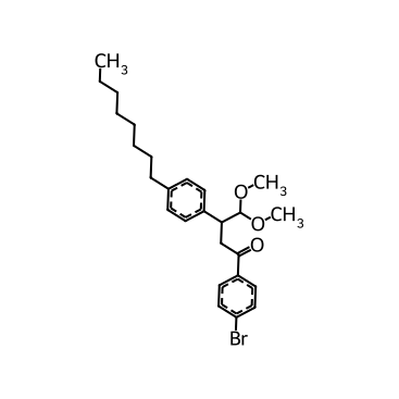 CCCCCCCCc1ccc(C(CC(=O)c2ccc(Br)cc2)C(OC)OC)cc1